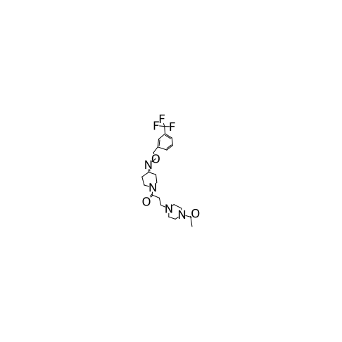 CC(=O)N1CCN(CCC(=O)N2CCC(=NOCc3cccc(C(F)(F)F)c3)CC2)CC1